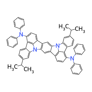 CC(C)c1ccc2c3c(N(c4ccccc4)c4ccccc4)ccc4c5cc6c(cc5n(c2c1)c43)c1ccc(N(c2ccccc2)c2ccccc2)c2c3ccc(C(C)C)cc3n6c12